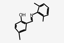 Cc1ccc(O)c(/C=N/c2c(C)cccc2C)c1